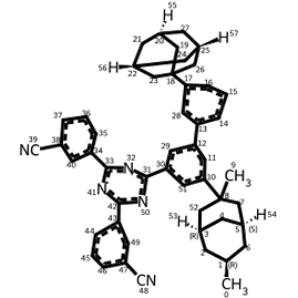 C[C@H]1C[C@@H]2C[C@H](C1)CC(C)(c1cc(-c3cccc(C45C[C@H]6C[C@@H](C4)C[C@@H](C5)C6)c3)cc(-c3nc(-c4cccc(C#N)c4)nc(-c4cccc(C#N)c4)n3)c1)C2